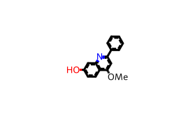 COc1cc(-c2ccccc2)nc2cc(O)ccc12